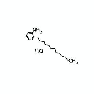 CCCCCCCCCCCCCc1ccccc1N.Cl